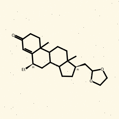 CC[C@@H]1CC2C(CCC3(C)C2CC[C@@H]3CC2OCCO2)C2(C)CCC(=O)C=C12